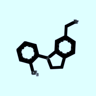 FC(F)(F)c1ccccc1N1CCc2ccc(CBr)cc21